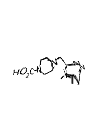 Cn1nnnc1CN1CCN(C(=O)O)CC1